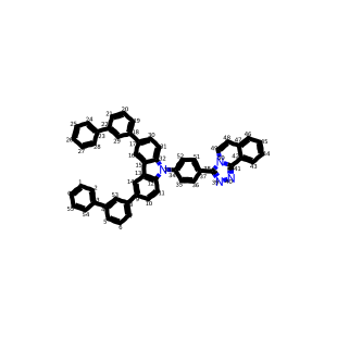 c1ccc(-c2cccc(-c3ccc4c(c3)c3cc(-c5cccc(-c6ccccc6)c5)ccc3n4-c3ccc(-c4nnc5c6ccccc6ccn45)cc3)c2)cc1